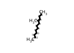 CCC/C=C(\C)CCCCCCCC